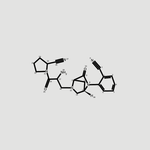 N#Cc1ccccc1N1C(=O)C2C[C@H]1CN2CC(N)C(=O)N1CCCC1C#N